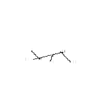 CCCCCCCCCOC(=O)C(C)CCCCCCN(CCCCO)CCCCCCCCOC(=O)C(CCCC)CCCCCCF